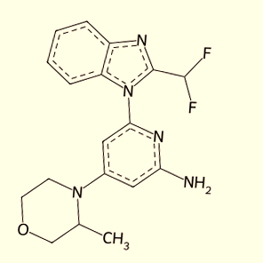 CC1COCCN1c1cc(N)nc(-n2c(C(F)F)nc3ccccc32)c1